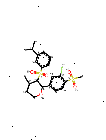 CC(C)c1cccc(S(=O)(=O)C2C(C)CCOC2c2ccc(S(C)(=O)=O)c(F)c2)c1